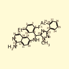 CCc1ccc(F)c(C(Nc2ccc3c(N)nccc3c2)c2nc(-c3ccccc3C(C)=O)nn2C)c1